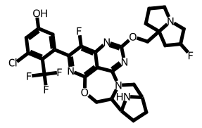 Oc1cc(Cl)c(C(F)(F)F)c(-c2nc3c4c(nc(OCC56CCCN5CC(F)C6)nc4c2F)N2CC4CCC(N4)C2CO3)c1